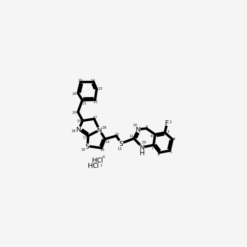 Cl.Cl.Fc1cccc2c1CN=C(SCC1=CSC3=NC(Cc4ccccc4)CN13)N2